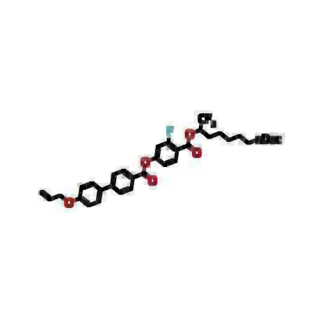 C=CCOc1ccc(-c2ccc(C(=O)Oc3ccc(C(=O)OC(CCCCCCCCCCCCCCC)C(F)(F)F)c(F)c3)cc2)cc1